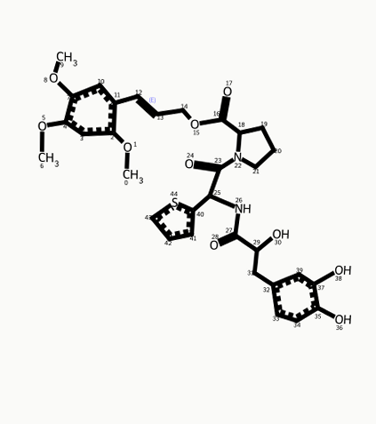 COc1cc(OC)c(OC)cc1/C=C/COC(=O)C1CCCN1C(=O)C(NC(=O)C(O)Cc1ccc(O)c(O)c1)c1cccs1